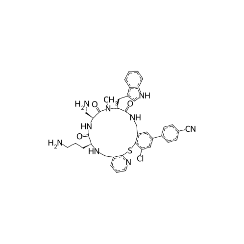 CN1C(=O)[C@H](CN)NC(=O)[C@H](CCCN)NCc2cccnc2Sc2c(Cl)cc(-c3ccc(C#N)cc3)cc2CNC(=O)[C@@H]1Cc1c[nH]c2ccccc12